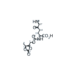 Cc1oc(=O)oc1COC(=O)NC(CCC(=O)C=N)C(=O)O